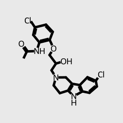 CC(=O)Nc1cc(Cl)ccc1OCC(O)CN1CCc2[nH]c3ccc(Cl)cc3c2C1